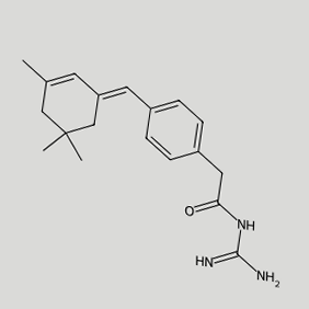 CC1=C/C(=C/c2ccc(CC(=O)NC(=N)N)cc2)CC(C)(C)C1